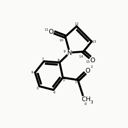 CC(=O)c1ccccc1N1C(=O)C=CC1=O